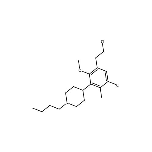 CCCCN1CCC(c2c(C)c(Cl)cc(CCCl)c2OC)CC1